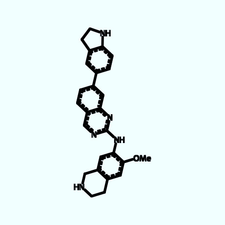 COc1cc2c(cc1Nc1ncc3ccc(-c4ccc5c(c4)CCN5)cc3n1)CNCC2